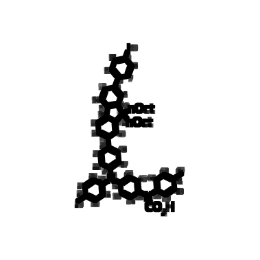 CCCCCCCCC1(CCCCCCCC)c2cc(-c3ccc(I)cc3)ccc2-c2ccc(-c3ccc(N(c4ccc(C)cc4)c4ccc(N(C(=O)O)c5ccc(C)cc5)cc4)cc3)cc21